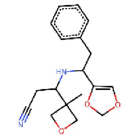 CC1(C(CC#N)NC(Cc2ccccc2)C2=COCO2)COC1